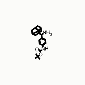 CC(C)(C)OC(=O)Nc1ccc(C(N)C23CC4CC(CC(C4)C2)C3)cc1